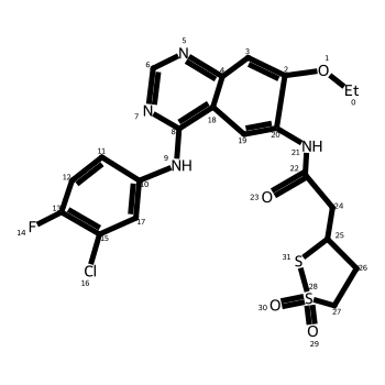 CCOc1cc2ncnc(Nc3ccc(F)c(Cl)c3)c2cc1NC(=O)CC1CCS(=O)(=O)S1